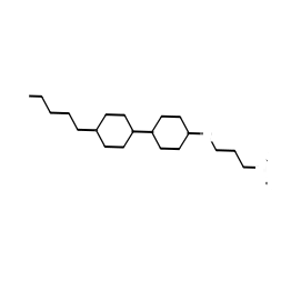 CCCCCC1CCC(C2CCC(OCCC[SiH](Cl)Cl)CC2)CC1